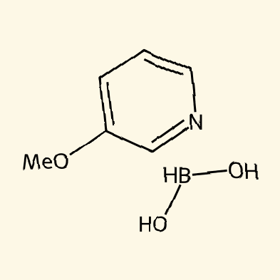 COc1cccnc1.OBO